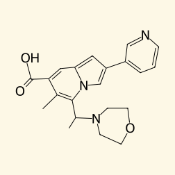 Cc1c(C(=O)O)cc2cc(-c3cccnc3)cn2c1C(C)N1CCOCC1